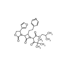 CC(C)COC(=O)C(C(=O)C(C)(C)C)N1C(=O)C(N2C(=O)OCC2c2ccoc2)C1CCc1ccncc1